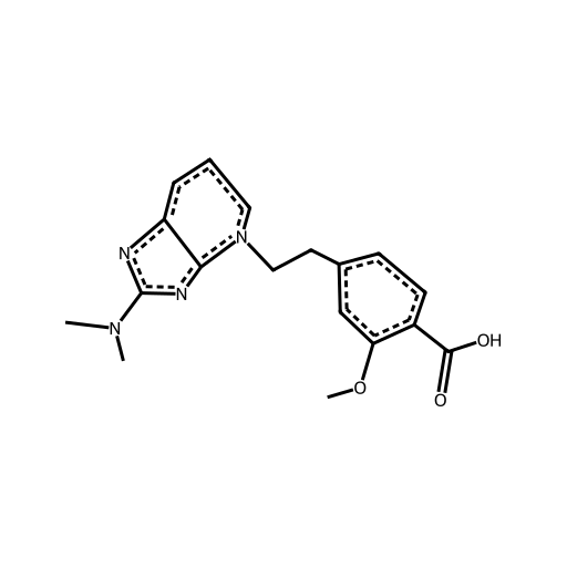 COc1cc(CCn2cccc3nc(N(C)C)nc2-3)ccc1C(=O)O